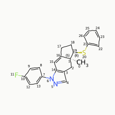 C[C@]12Cc3cnn(-c4ccc(F)cc4)c3C=C1CC[C@H]2Sc1ccccc1